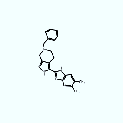 Cc1cc2nc(-c3[nH]nc4c3CCN(Cc3ccccc3)C4)[nH]c2cc1C